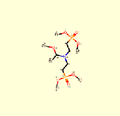 CCOP(=O)(CCN(CCP(=O)(OCC)OCC)C(CC)OC(C)C)OCC